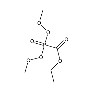 CCOC(=O)P(=O)(OOC)OOC